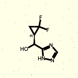 OC(c1ncn[nH]1)[C@H]1CC1(F)F